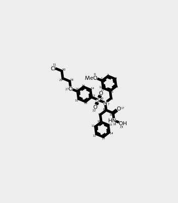 COc1cccc(CN(C(Cc2ccccc2)C(=O)NO)S(=O)(=O)c2ccc(OCCCCl)cc2)c1